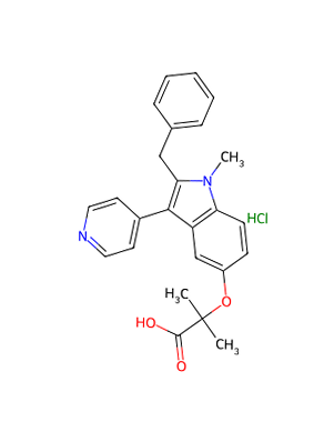 Cl.Cn1c(Cc2ccccc2)c(-c2ccncc2)c2cc(OC(C)(C)C(=O)O)ccc21